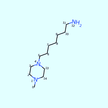 CN1CCN(CCCCCCCN)CC1